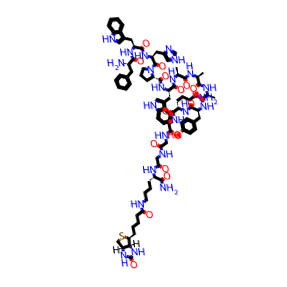 C[C@H](NC(=O)[C@H](C)NC(=O)[C@H](Cc1c[nH]c2ccccc12)NC(=O)[C@@H]1CCCN1C(=O)[C@H](Cc1c[nH]cn1)NC(=O)[C@H](Cc1c[nH]c2ccccc12)NC(=O)[C@@H](N)Cc1ccccc1)C(=O)N[C@@H](C)C(=O)N[C@@H](Cc1ccc(O)cc1)C(=O)N[C@@H](CCCCN)C(=O)NCC(=O)NCC(=O)NCC(=O)N[C@@H](CCCCNC(=O)CCCC[C@@H]1SC[C@@H]2NC(=O)N[C@@H]21)C(N)=O